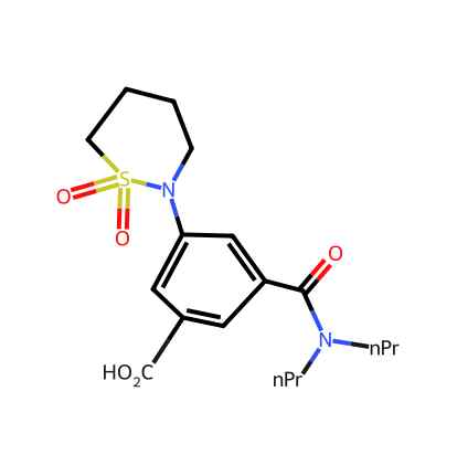 CCCN(CCC)C(=O)c1cc(C(=O)O)cc(N2CCCCS2(=O)=O)c1